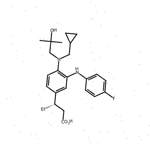 CC[C@@H](CC(=O)O)c1ccc(N(CC2CC2)CC(C)(C)O)c(Nc2ccc(F)cc2)c1